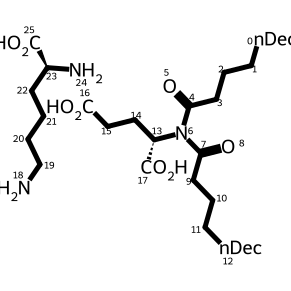 CCCCCCCCCCCCCC(=O)N(C(=O)CCCCCCCCCCCCC)[C@@H](CCC(=O)O)C(=O)O.NCCCC[C@H](N)C(=O)O